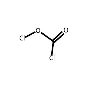 O=C(Cl)OCl